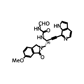 COc1ccc2c(c1)C(=O)N(C[C@@H](C#Cc1nccc3cc[nH]c13)NC(=O)NC=O)C2